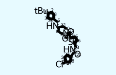 CC(C)(C)c1ccc(CNC2CCN(S(=O)(=O)c3ccc(CNC(=O)c4ccc(Cl)cc4)s3)CC2)cc1